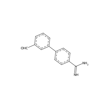 N=C(N)c1ccc(-c2cccc([C]=O)c2)cc1